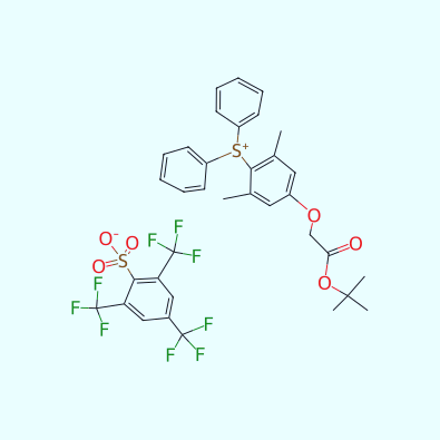 Cc1cc(OCC(=O)OC(C)(C)C)cc(C)c1[S+](c1ccccc1)c1ccccc1.O=S(=O)([O-])c1c(C(F)(F)F)cc(C(F)(F)F)cc1C(F)(F)F